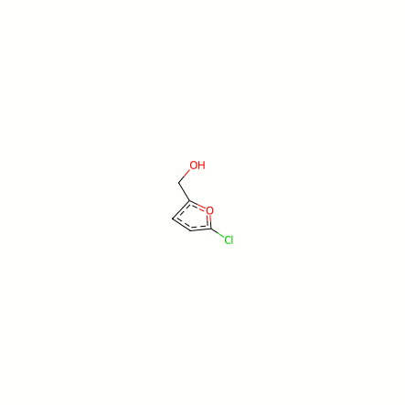 OCc1ccc(Cl)o1